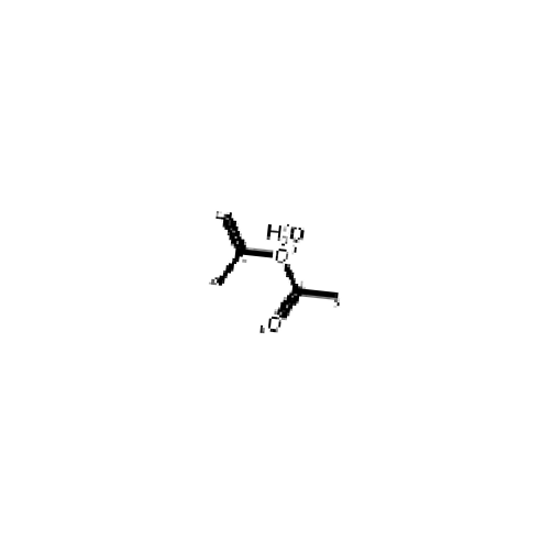 C=C(C)OC(C)=O.O